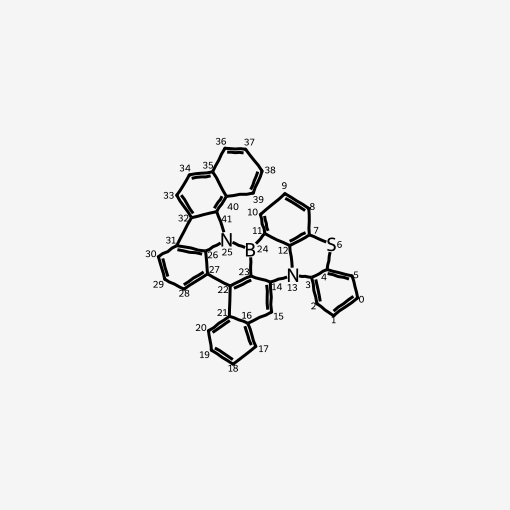 c1ccc2c(c1)Sc1cccc3c1N2c1cc2ccccc2c2c1B3n1c3c-2cccc3c2ccc3ccccc3c21